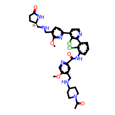 COc1cnc(C(=O)Nc2cccc(-c3nccc(-c4ccc(CNC[C@H]5CCC(=O)N5)c(OC)n4)c3Cl)c2Cl)cc1CNC1CCN(C(C)=O)CC1